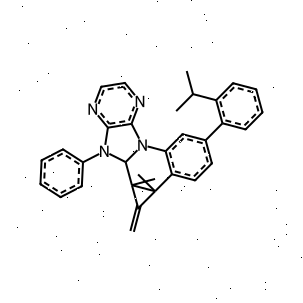 C=C1C2(C)c3ccc(-c4ccccc4C(C)C)cc3N3c4nccnc4N(c4ccccc4)C3C12C